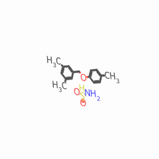 Cc1ccc(OCc2cc(C)cc(C)c2)cc1.N[SH](=O)=O